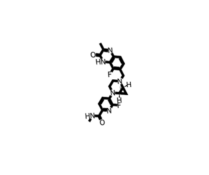 CNC(=O)c1ccc(N2CCN(Cc3ccc4nc(C)c(=O)[nH]c4c3F)[C@H]3C[C@H]32)c(F)n1